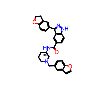 O=C(N[C@@H]1CCCN(Cc2ccc3occc3c2)C1)c1ccc2[nH]nc(-c3ccc4c(c3)CCO4)c2c1